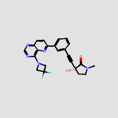 CN1CC[C@@](O)(C#Cc2cccc(-c3ccc4ncnc(N5CC(F)(F)C5)c4n3)c2)C1=O